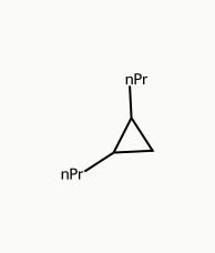 CCCC1CC1CCC